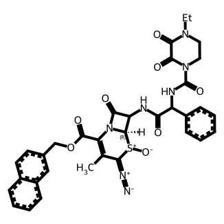 CCN1CCN(C(=O)NC(C(=O)NC2C(=O)N3C(C(=O)OCc4ccc5ccccc5c4)=C(C)C(=[N+]=[N-])[S+]([O-])[C@H]23)c2ccccc2)C(=O)C1=O